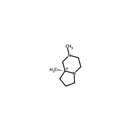 CN1CCN2CCC[C@@]2(C)C1